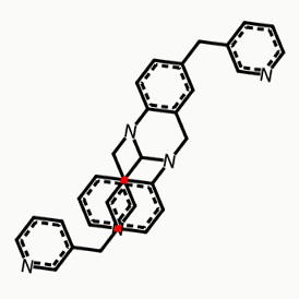 c1cncc(Cc2ccc3c(c2)CN2c4ccc(Cc5cccnc5)cc4CN3C2c2cccnc2)c1